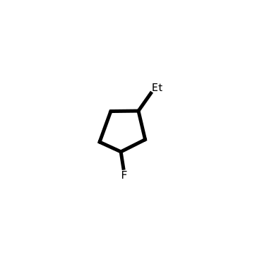 CCC1CCC(F)C1